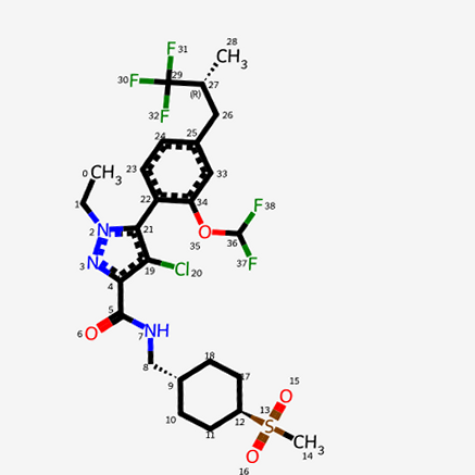 CCn1nc(C(=O)NC[C@H]2CC[C@H](S(C)(=O)=O)CC2)c(Cl)c1-c1ccc(C[C@@H](C)C(F)(F)F)cc1OC(F)F